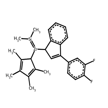 CC1=C(C)[CH]([Zr]([CH]2C=C(c3ccc(F)c(F)c3)c3ccccc32)=[Si](C)C)C(C)=C1C